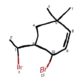 CC(Br)C1CC(C)(C)C=CC1Br